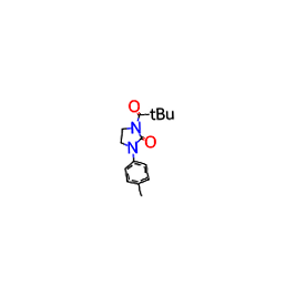 Cc1ccc(N2CCN(C(=O)C(C)(C)C)C2=O)cc1